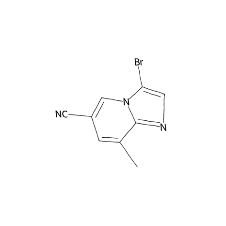 Cc1cc(C#N)cn2c(Br)cnc12